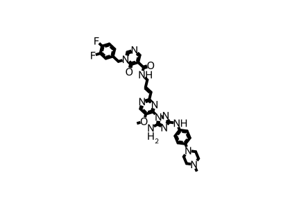 COc1cnc(/C=C/CNC(=O)c2cncn(Cc3ccc(F)c(F)c3)c2=O)nc1-n1nc(Nc2ccc(N3CCN(C)CC3)cc2)nc1N